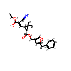 CCOC(=O)/C(C#N)=C/[C@@H]1[C@@H](C(=O)OCc2coc(Cc3ccccc3)c2)C1(C)C